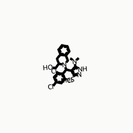 CSc1n[nH]c(N(C)C)c1C(c1c(Cl)cc(Cl)cc1Cl)N1Cc2ccccc2CC1CO